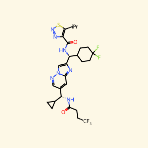 CC(C)c1snnc1C(=O)N[C@H](c1cn2ncc([C@H](NC(=O)CCC(F)(F)F)C3CC3)cc2n1)C1CCC(F)(F)CC1